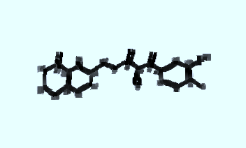 Cc1ccc(NC(=O)NCCc2ccc3c(n2)NCCC3)cc1F